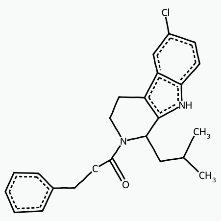 CC(C)CC1c2[nH]c3ccc(Cl)cc3c2CCN1C(=O)CCc1ccccc1